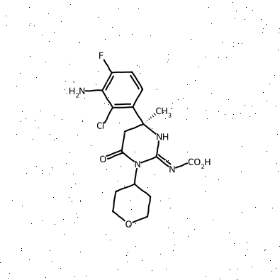 C[C@@]1(c2ccc(F)c(N)c2Cl)CC(=O)N(C2CCOCC2)/C(=N/C(=O)O)N1